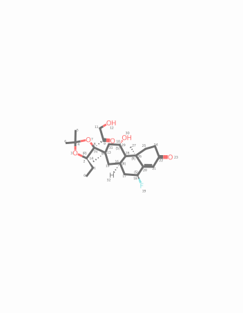 CC[C@H]1OC(C)(C)O[C@@]1(C(=O)CO)[C@]1(C)C[C@@H]2C[C@H](F)C3=CC(=O)CC[C@]3(C)C2[C@@H](O)C1